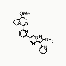 COC(=O)C1CCCN1C(=O)c1cccc(-c2cnc3c(-c4ccccn4)c(N)nn3c2)n1